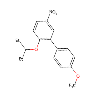 CCC(CC)Oc1ccc([N+](=O)[O-])cc1-c1ccc(OC(F)(F)F)cc1